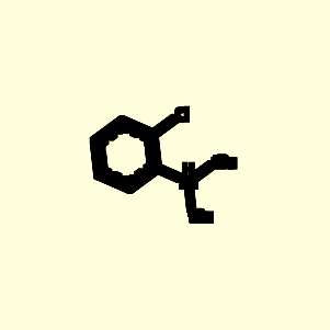 C[C](C)(C)[SnH]([c]1ccccc1Cl)[C](C)(C)C